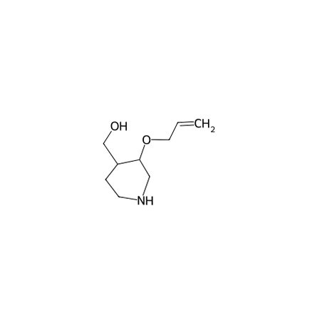 C=CCOC1CNCCC1CO